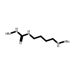 CCCCNCCCCNC(=O)NCCCC